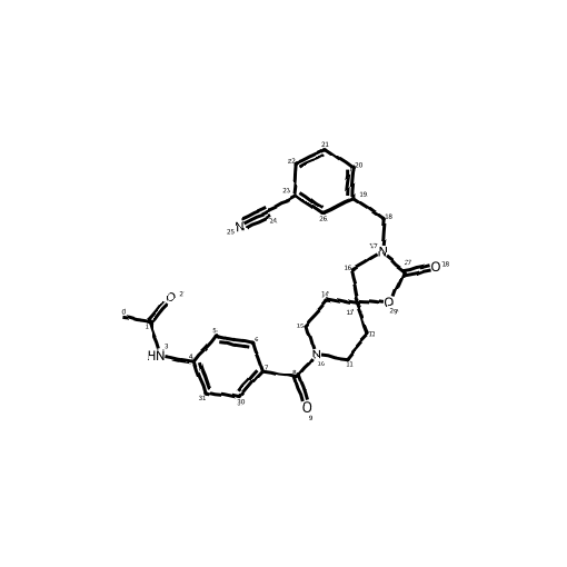 CC(=O)Nc1ccc(C(=O)N2CCC3(CC2)CN(Cc2cccc(C#N)c2)C(=O)O3)cc1